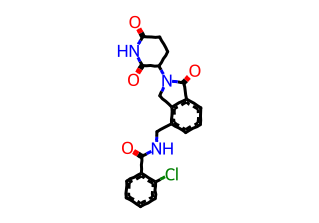 O=C1CCC(N2Cc3c(CNC(=O)c4ccccc4Cl)cccc3C2=O)C(=O)N1